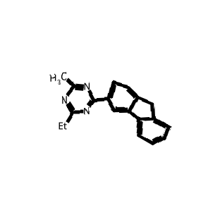 CCc1nc(C)nc(-c2ccc3c(c2)-c2ccccc2C3)n1